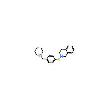 c1ccc2c(c1)CCN(Sc1ccc(CN3CCCCC3)cc1)C2